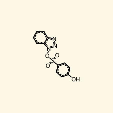 O=S(=O)(On1nnc2ccccc21)c1ccc(O)cc1